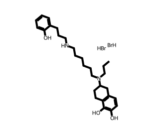 Br.Br.CCCN(CCCCCCNCCCc1ccccc1O)C1CCc2c(ccc(O)c2O)C1